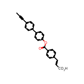 CC#Cc1ccc(-c2ccc(OC(=O)c3ccc(/C=C/C(=O)O)cc3)cc2)cc1